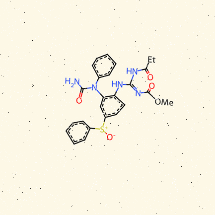 CCC(=O)NC(=NC(=O)OC)Nc1ccc([S+]([O-])c2ccccc2)cc1N(C(N)=O)c1ccccc1